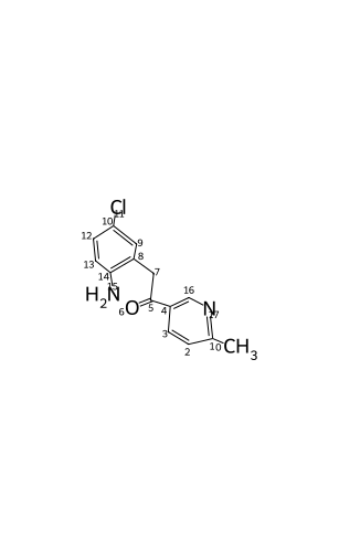 Cc1ccc(C(=O)Cc2cc(Cl)ccc2N)cn1